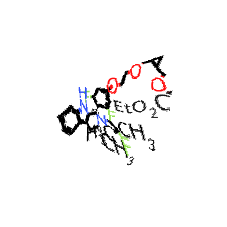 CCOC(=O)COCC1CC1COCCOc1cc(F)c([C@@H]2c3[nH]c4ccccc4c3C[C@@H](C)N2CC(C)(C)F)c(F)c1